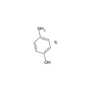 Oc1ccc([SiH3])cc1.[Ti]